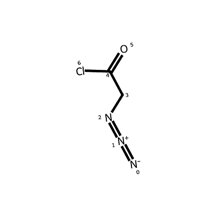 [N-]=[N+]=NCC(=O)Cl